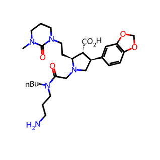 CCCCN(CCCN)C(=O)CN1C[C@H](c2ccc3c(c2)OCO3)[C@@H](C(=O)O)[C@@H]1CCN1CCCN(C)C1=O